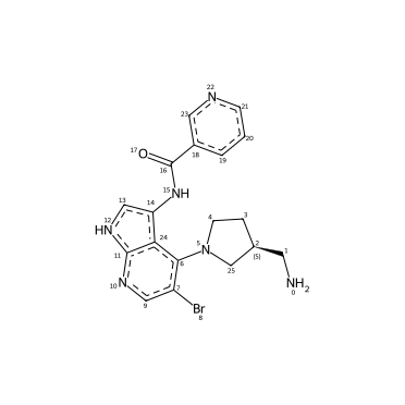 NC[C@@H]1CCN(c2c(Br)cnc3[nH]cc(NC(=O)c4cccnc4)c23)C1